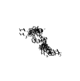 CC(=O)OCC1O[C@@H](Oc2ccc(COC(=O)NCC(CNC(=O)OC(C)(C)C)OC(=O)n3ccnc3)cc2[N+](=O)[O-])[C@@H](OC(C)=O)C(OC(C)=O)[C@H]1OC(C)=O